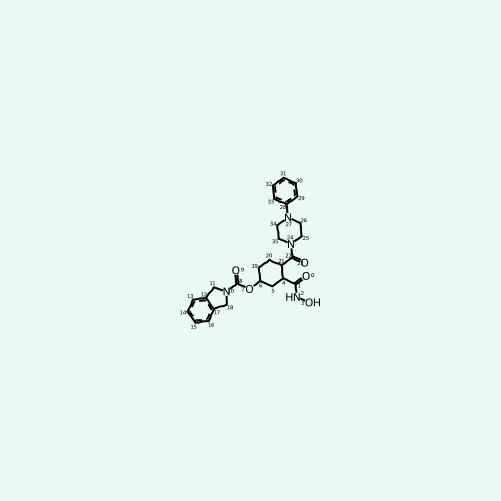 O=C(NO)C1CC(OC(=O)N2Cc3ccccc3C2)CCC1C(=O)N1CCN(c2ccccc2)CC1